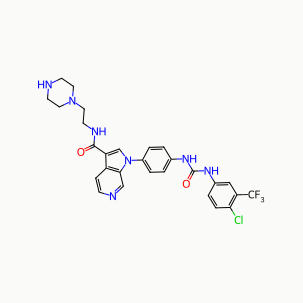 O=C(Nc1ccc(-n2cc(C(=O)NCCN3CCNCC3)c3ccncc32)cc1)Nc1ccc(Cl)c(C(F)(F)F)c1